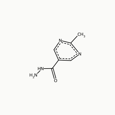 Cc1ncc(C(=O)NN)cn1